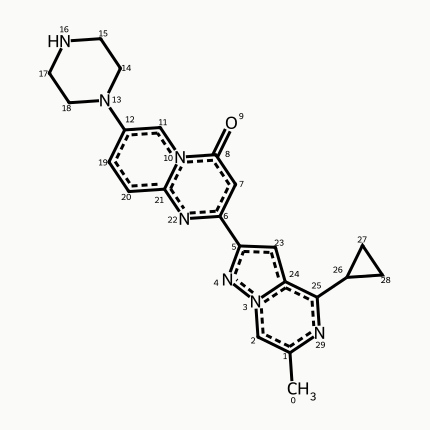 Cc1cn2nc(-c3cc(=O)n4cc(N5CCNCC5)ccc4n3)cc2c(C2CC2)n1